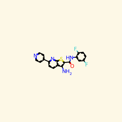 Nc1c(C(=O)Nc2cc(F)ccc2F)sc2nc(-c3ccncc3)ccc12